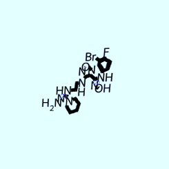 N/N=C(/NCCNc1nonc1/C(=N/O)Nc1ccc(F)c(Br)c1)N1CCCCC1